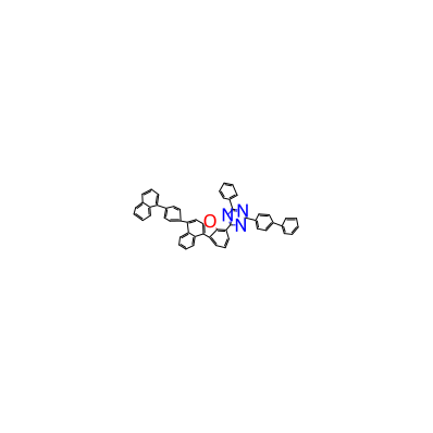 c1ccc(-c2ccc(-c3nc(-c4ccccc4)nc(-c4cccc5c4oc4cc(-c6ccc(-c7cccc8ccccc78)cc6)c6ccccc6c45)n3)cc2)cc1